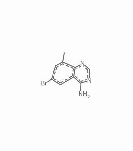 Cc1cc(Br)cc2c(N)ncnc12